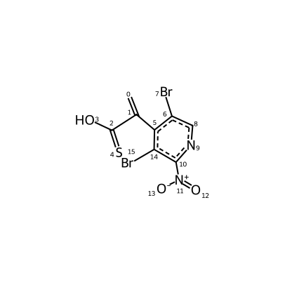 C=C(C(O)=S)c1c(Br)cnc([N+](=O)[O-])c1Br